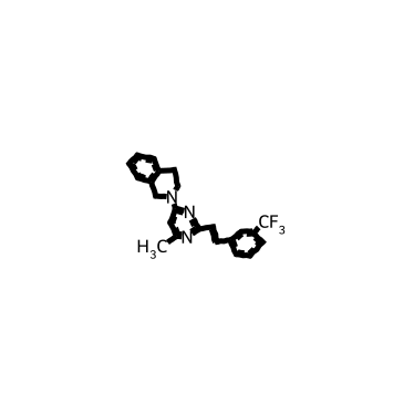 Cc1cc(N2CCc3ccccc3C2)nc(/C=C/c2cccc(C(F)(F)F)c2)n1